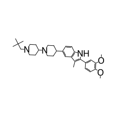 COc1ccc(-c2[nH]c3ccc(C4CCN(C5CCN(CC(C)(C)C)CC5)CC4)cc3c2C)cc1OC